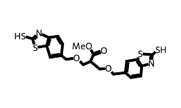 COC(=O)C(COCc1ccc2nc(S)sc2c1)COCc1ccc2nc(S)sc2c1